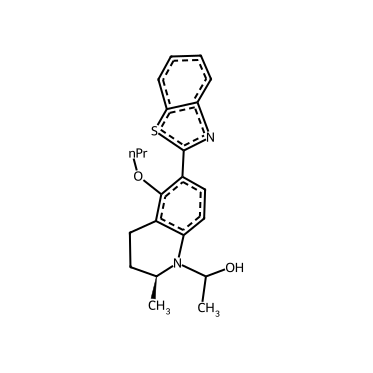 CCCOc1c(-c2nc3ccccc3s2)ccc2c1CC[C@H](C)N2C(C)O